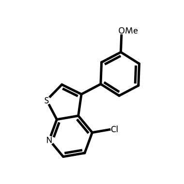 COc1cccc(-c2csc3nccc(Cl)c23)c1